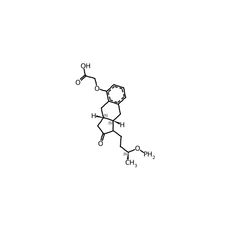 C[C@@H](CCC1C(=O)C[C@@H]2Cc3c(cccc3OCC(=O)O)C[C@H]12)OP